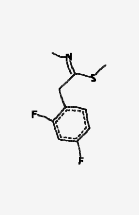 C/N=C(\Cc1ccc(F)cc1F)SC